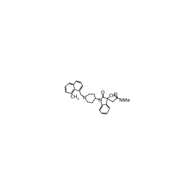 CNC(=O)CC1(C)C(=O)N(C2CCN(Cc3cccc4cccc(C)c34)CC2)c2ccccc21